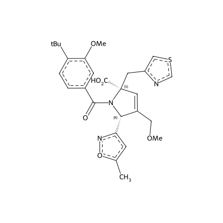 COCC1=C[C@@](Cc2cscn2)(C(=O)O)N(C(=O)c2ccc(C(C)(C)C)c(OC)c2)[C@H]1c1cc(C)on1